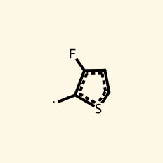 [CH2]c1sccc1F